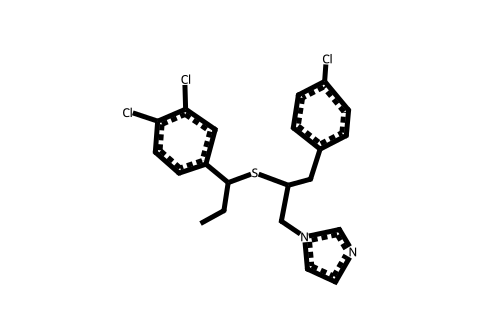 CCC(SC(Cc1ccc(Cl)cc1)Cn1ccnc1)c1ccc(Cl)c(Cl)c1